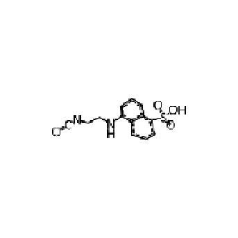 O=C=NCCNc1cccc2c(S(=O)(=O)O)cccc12